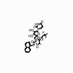 C[C@H](NP(=O)(OC[C@@]1(N)O[C@@H](n2ccc(=O)[nH]c2=O)[C@H](O)[C@@H]1O)Oc1cccc2ccccc12)C(=O)OCC(F)(F)F